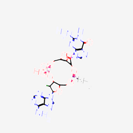 BP1OCC2OC(n3cnc4c(N)ncnc43)C(F)C2OP(=O)(O)OCC2OC(n3cnc4c(=O)[nH]c(N)nc43)C(O1)C2OC